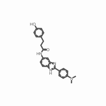 CN(C)c1ccc(-c2nc3cc(NC(=O)CCc4ccc(O)cc4)ccc3[nH]2)cc1